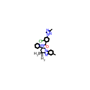 BC1(B)C[C@](NC(=O)c2ccc(-n3cnc(C)n3)cc2Cl)(c2ccccc2)Cn2c1nc1cc(C)ccc12